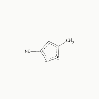 Cc1cc(C#N)[c]s1